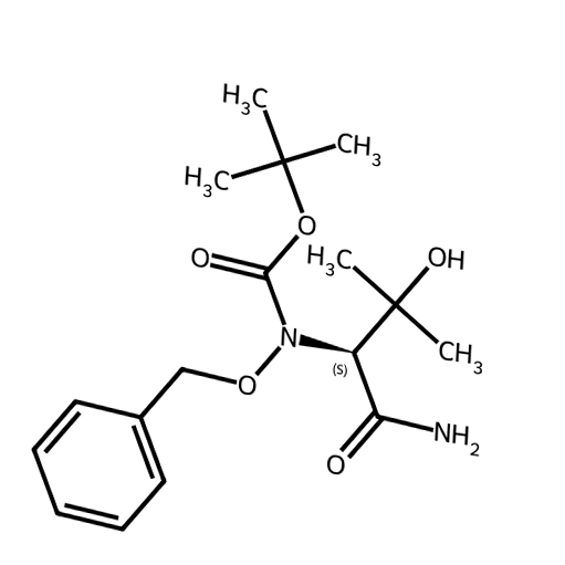 CC(C)(C)OC(=O)N(OCc1ccccc1)[C@H](C(N)=O)C(C)(C)O